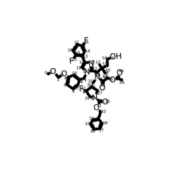 COCOc1cccc(Cn2cc(-c3cc(F)ccc3F)nc2[C@H](N(C[C@@H]2CN(C(=O)OCc3ccccc3)C[C@@H]2F)C(=O)[C@H](C)OC(C)=O)C(C)(C)CCO)c1